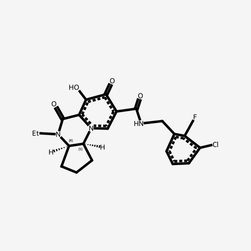 CCN1C(=O)c2c(O)c(=O)c(C(=O)NCc3cccc(Cl)c3F)cn2[C@H]2CCC[C@H]21